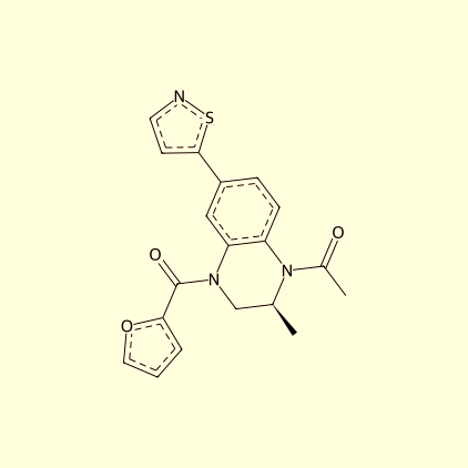 CC(=O)N1c2ccc(-c3ccns3)cc2N(C(=O)c2ccco2)C[C@@H]1C